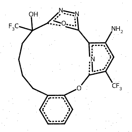 Nc1cc(C(F)(F)F)c2nc1-c1nnc(o1)C(O)(C(F)(F)F)CCCCc1ccccc1O2